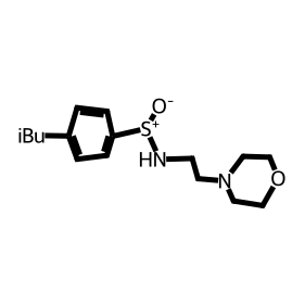 CCC(C)c1ccc([S+]([O-])NCCN2CCOCC2)cc1